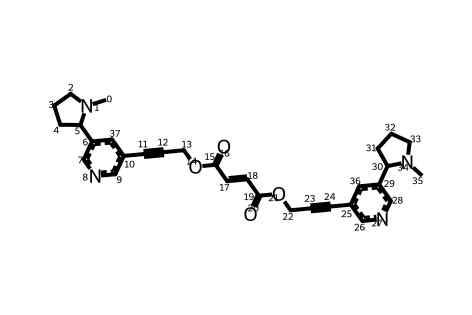 CN1CCCC1c1cncc(C#CCOC(=O)/C=C/C(=O)OCC#Cc2cncc(C3CCCN3C)c2)c1